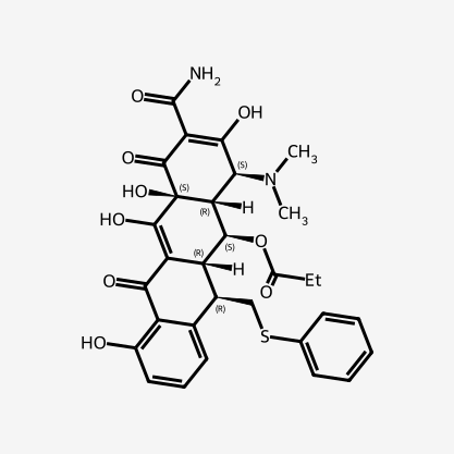 CCC(=O)O[C@H]1[C@H]2C(=C(O)[C@]3(O)C(=O)C(C(N)=O)=C(O)[C@@H](N(C)C)[C@H]13)C(=O)c1c(O)cccc1[C@@H]2CSc1ccccc1